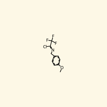 COc1ccc(CN=C(Cl)C(F)(F)F)cc1